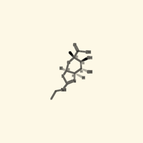 CCNC1=N[C@@H]2[C@@H](O)[C@H](O)[C@@](C)(C(=O)O)O[C@@H]2S1